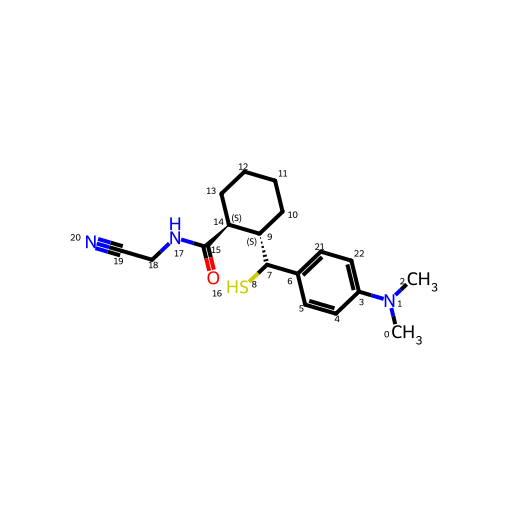 CN(C)c1ccc(C(S)[C@H]2CCCC[C@@H]2C(=O)NCC#N)cc1